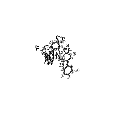 Cc1cccc(C2=CC=C(C(F)(F)F)CC2(C)CN(Cc2cc(C(F)(F)F)cc(C(F)(F)F)c2)c2nnn(C)n2)c1